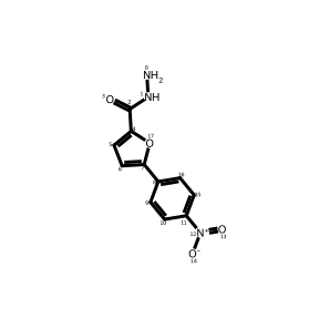 NNC(=O)c1ccc(-c2ccc([N+](=O)[O-])cc2)o1